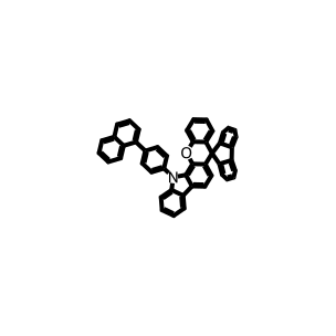 c1ccc2c(c1)Oc1c(ccc3c4ccccc4n(-c4ccc(-c5cccc6ccccc56)cc4)c13)C21c2ccccc2-c2ccccc21